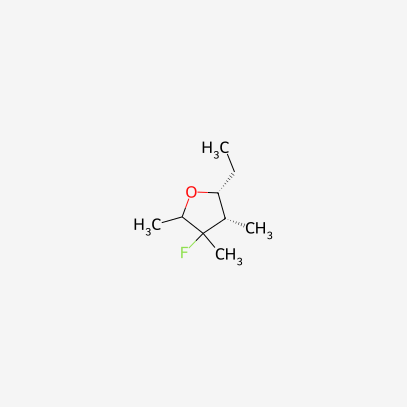 CC[C@H]1OC(C)C(C)(F)[C@H]1C